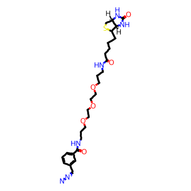 [N-]=[N+]=Cc1cccc(C(=O)NCCCOCCOCCOCCCNC(=O)CCCCC2SC[C@@H]3NC(=O)N[C@H]23)c1